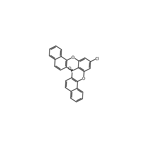 O=P12c3ccc4ccccc4c3Oc3cc(Cl)cc(c31)Oc1c2ccc2ccccc12